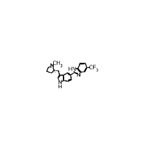 CN1CCC[C@@H]1Cc1c[nH]c2ccc(-c3nc4cc(C(F)(F)F)ccc4[nH]3)cc12